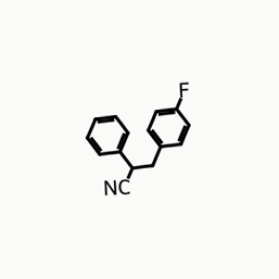 N#CC(Cc1ccc(F)cc1)c1ccccc1